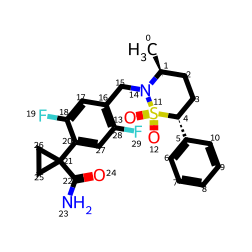 C[C@H]1CC[C@H](c2ccccc2)S(=O)(=O)N1Cc1cc(F)c(C2(C(N)=O)CC2)cc1F